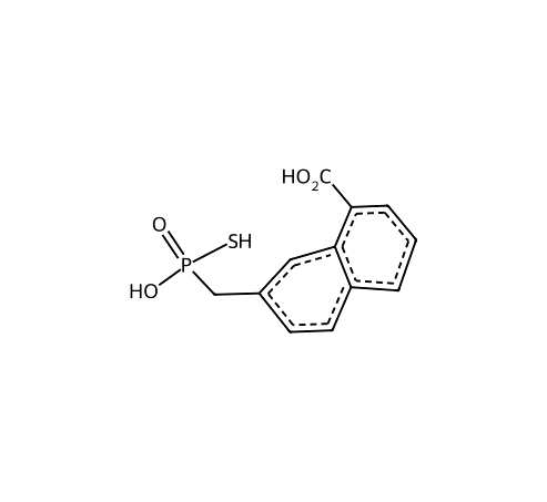 O=C(O)c1cccc2ccc(CP(=O)(O)S)cc12